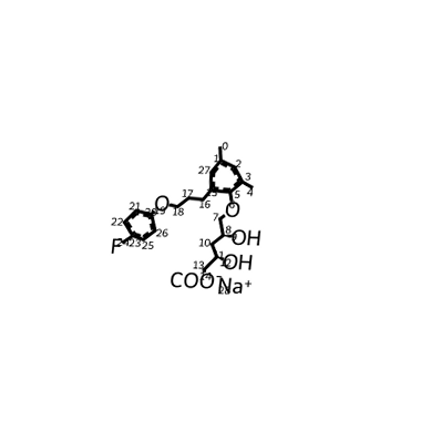 Cc1cc(C)c(OC[C@@H](O)C[C@@H](O)CC(=O)[O-])c(CCCOc2ccc(F)cc2)c1.[Na+]